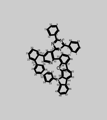 c1ccc(-c2nc(-c3ccccc3)nc(-c3cc(-c4ccccc4-c4ccccc4)cnc3-c3cccc4c3oc3c4ccc4c5ccccc5n(-c5ccccc5)c43)n2)cc1